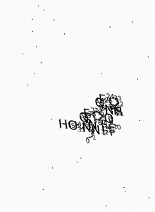 CCc1nn(-c2cc(OC(C)C(F)(F)F)c(C(=O)Nc3c(F)cccc3F)cc2F)c(=O)n1CCO